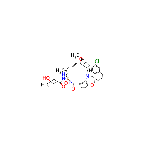 CO[C@H]1/C=C/C[C@H](C)C[S@@](=O)(NC(=O)[C@H]2C[C@@](C)(O)C2)=NC(=O)c2ccc3c(c2)N(C[C@@H]2CC[C@H]21)C[C@@]1(CCCc2cc(Cl)ccc21)CO3